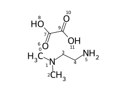 CN(C)CCN.O=C(O)C(=O)O